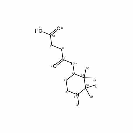 CN1CCC(OC(=O)CCC(=O)O)C(C)(C)C1(C)C